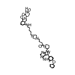 Nc1ncnc2c1c(-c1ccc(Oc3ccccc3)cc1)nn2C1CCCN(C(=O)CCCN2CCN(CCCCCNc3cccc4c3CN(C3CCC(=O)NC3=O)C4=O)CC2)C1